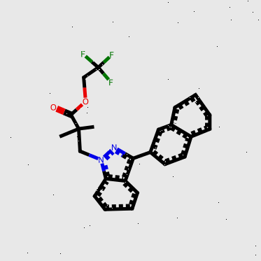 CC(C)(Cn1nc(-c2ccc3ccccc3c2)c2ccccc21)C(=O)OCC(F)(F)F